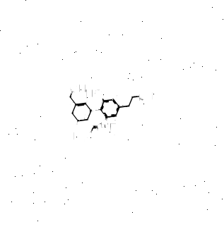 C=C(C)[C@@H]1CCC(CO)=C[C@H]1c1c(O)cc(CCC)cc1O